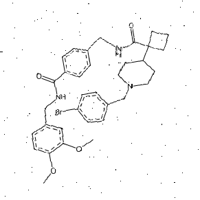 COc1ccc(CNC(=O)c2ccc(CNC(=O)C3(C4CCN(Cc5ccc(Br)cc5)CC4)CCC3)cc2)cc1OC